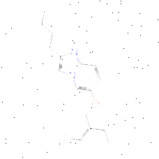 CCCCc1cn2cc(OC/C(=C\F)CC)ccc2n1